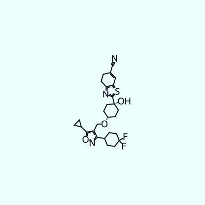 N#CC1=Cc2sc([C@]3(O)CC[C@@H](OCc4c(C5CCC(F)(F)CC5)noc4C4CC4)CC3)nc2CC1